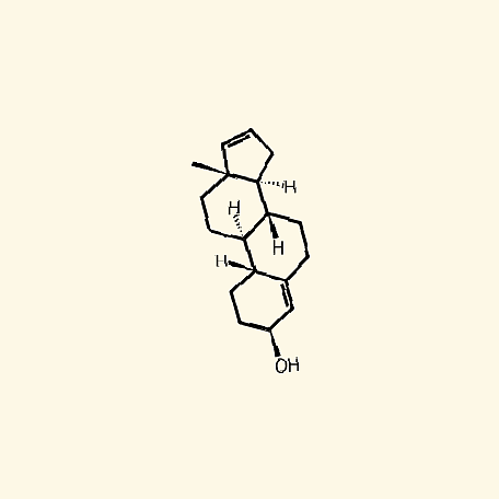 C[C@@]12C=CC[C@H]1[C@@H]1CCC3=C[C@@H](O)CC[C@@H]3[C@H]1CC2